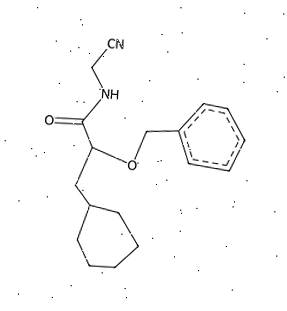 N#CCNC(=O)C(CC1CCCCC1)OCc1ccccc1